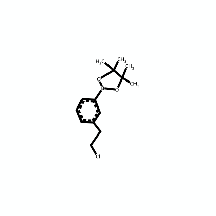 CC1(C)OB(c2cccc(CCCl)c2)OC1(C)C